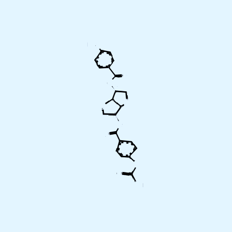 CC(=O)Oc1ccc(C(=O)O[C@H]2COC3C2OC[C@@H]3OC(=O)c2ccc(C)cc2)cc1